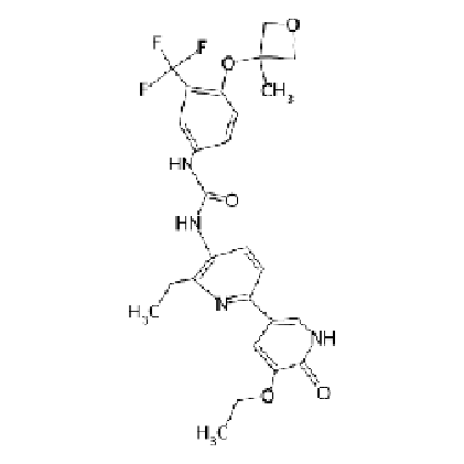 CCOc1cc(-c2ccc(NC(=O)Nc3ccc(OC4(C)COC4)c(C(F)(F)F)c3)c(CC)n2)c[nH]c1=O